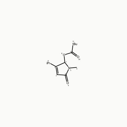 CC(C)C1=CC(=O)N(C)C1OC(=O)C(C)(C)C